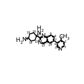 Cc1ccncc1-c1ccc2nc(C3(N)CCC(N)CC3)ncc2c1